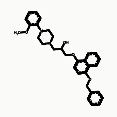 COc1ccccc1N1CCN(CC(O)COc2ccc(OCc3ccccc3)c3ccccc23)CC1